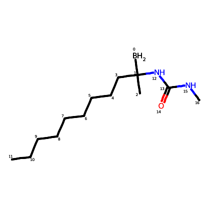 BC(C)(CCCCCCCCC)NC(=O)NC